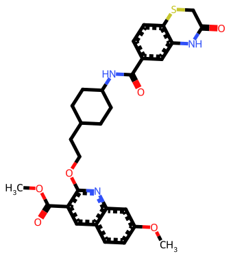 COC(=O)c1cc2ccc(OC)cc2nc1OCCC1CCC(NC(=O)c2ccc3c(c2)NC(=O)CS3)CC1